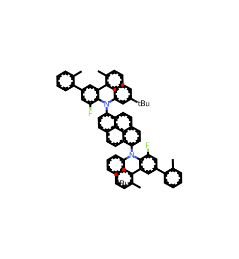 Cc1ccccc1-c1cc(F)c(N(c2cccc(C(C)(C)C)c2)c2ccc3ccc4c(N(c5cccc(C(C)(C)C)c5)c5c(F)cc(-c6ccccc6C)cc5-c5ccccc5C)ccc5ccc2c3c54)c(-c2ccccc2C)c1